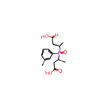 Cc1cccc(P(=O)(C(C)CC(=O)O)C(C)CC(=O)O)c1